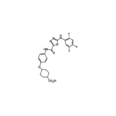 CCOC(=O)C1CCC(Oc2ccc(NC(=O)c3nnc(Nc4cc(F)c(F)cc4F)o3)cc2)CC1